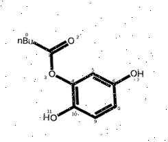 CCCCC(=O)Oc1cc(O)ccc1O